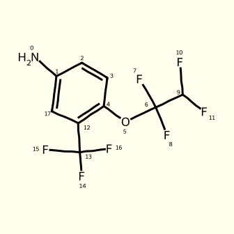 Nc1ccc(OC(F)(F)C(F)F)c(C(F)(F)F)c1